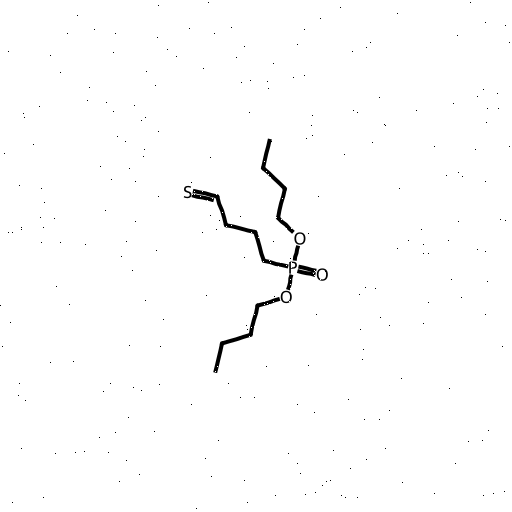 CCCCOP(=O)(CCCC=S)OCCCC